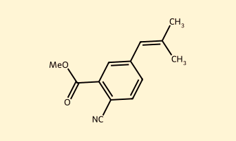 COC(=O)c1cc(C=C(C)C)ccc1C#N